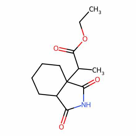 CCOC(=O)C(C)C12CCCCC1C(=O)NC2=O